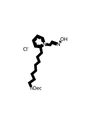 CCCCCCCCCCCCCCCCCCc1cccc[n+]1CC=NO.[Cl-]